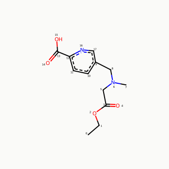 CCOC(=O)CN(C)Cc1ccc(C(=O)O)nc1